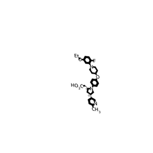 CCOc1ccc(F)c(N2CCC(Oc3ccc(N4C[C@H](c5ccc(C)nc5)C[C@@H]4CC(=O)O)cc3)CC2)c1